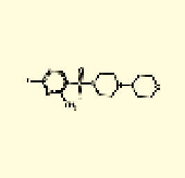 Cc1nc(Br)ccc1S(=O)(=O)N1CCN(C2CCOCC2)CC1